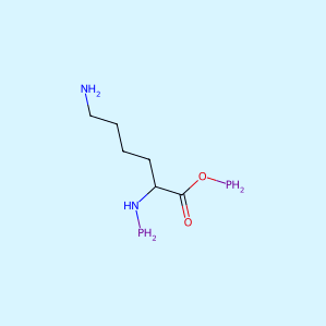 NCCCCC(NP)C(=O)OP